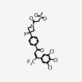 CS(=O)(=O)CC(=O)N1CC(F)(c2ccc(C(=O)/C=C(\c3cc(Cl)c(Cl)c(Cl)c3)C(F)(F)F)cc2)C1